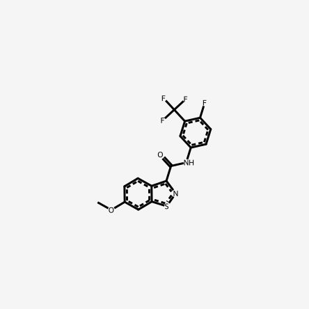 COc1ccc2c(C(=O)Nc3ccc(F)c(C(F)(F)F)c3)nsc2c1